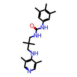 Cc1cc(NC(=O)NCC(C)(C)CNc2c(C)cncc2C)cc(C)c1C